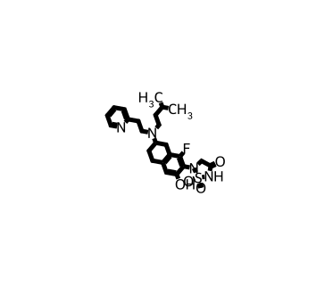 CC(C)CCN(CCc1ccccn1)C1CCc2cc(O)c(N3CC(=O)NS3(=O)=O)c(F)c2C1